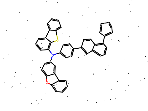 c1ccc(-c2cccc3cc(-c4ccc(N(c5ccc6oc7ccccc7c6c5)c5cccc6c5sc5ccccc56)cc4)ccc23)cc1